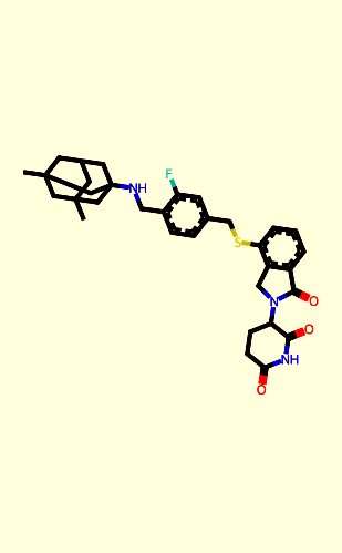 CC12CC3CC(C)(C1)CC(NCc1ccc(CSc4cccc5c4CN(C4CCC(=O)NC4=O)C5=O)cc1F)(C3)C2